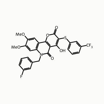 COc1cc2c3oc(=O)c(Sc4cccc(C(F)(F)F)c4)c(O)c3c(=O)n(Cc3cccc(F)c3)c2cc1OC